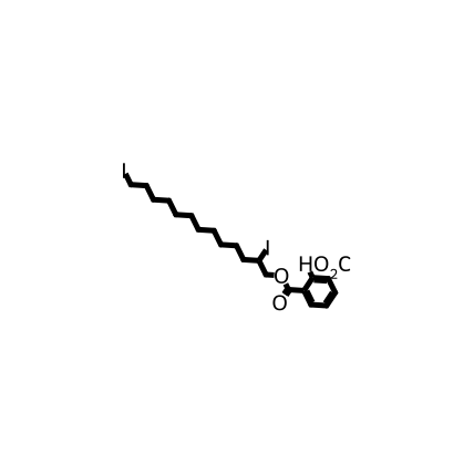 O=C(O)c1ccccc1C(=O)OCC(I)CCCCCCCCCCCI